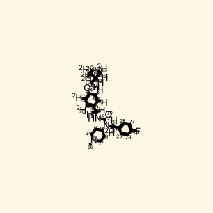 [2H]c1c([2H])c(C([2H])([2H])NC(=O)N(C2CCN(C)CC2)C([2H])([2H])c2ccc(F)cc2)c([2H])c([2H])c1OC([2H])([2H])C([2H])(C([2H])([2H])[2H])C([2H])([2H])[2H]